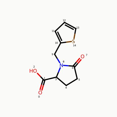 O=C(O)C1CCC(=O)N1Cc1cccs1